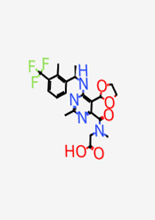 Cc1nc(N[C@H](C)c2cccc(C(F)(F)F)c2C)c(C2OCCO2)c(C(=O)N(C)CC(=O)O)n1